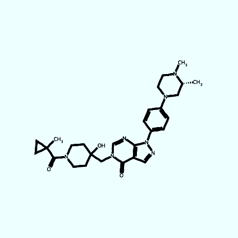 C[C@@H]1CN(c2ccc(-n3ncc4c(=O)n(CC5(O)CCN(C(=O)C6(C)CC6)CC5)cnc43)cc2)CCN1C